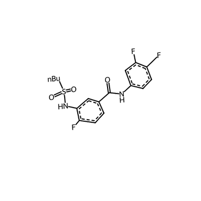 CCCCS(=O)(=O)Nc1cc(C(=O)Nc2ccc(F)c(F)c2)ccc1F